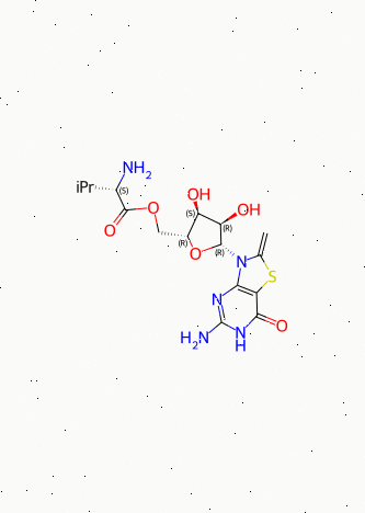 C=C1Sc2c(nc(N)[nH]c2=O)N1[C@@H]1O[C@H](COC(=O)[C@@H](N)C(C)C)[C@@H](O)[C@H]1O